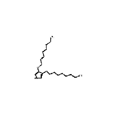 CCCCCCCCOc1c[nH]cc1OCCCCCCCC